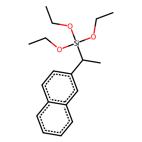 CCO[Si](OCC)(OCC)C(C)c1ccc2ccccc2c1